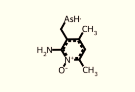 Cc1cc(C)[n+]([O-])c(N)c1C[AsH]